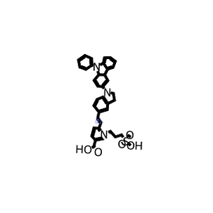 O=C(O)c1ccc(/C=C/c2ccc3c(c2)CCN3C2=CC3c4ccccc4N(c4ccccc4)C3C=C2)[n+](CCCS(=O)(=O)O)c1